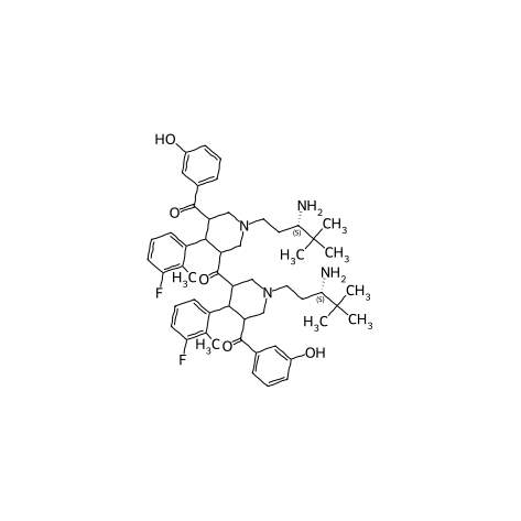 Cc1c(F)cccc1C1C(C(=O)c2cccc(O)c2)CN(CC[C@H](N)C(C)(C)C)CC1C(=O)C1CN(CC[C@H](N)C(C)(C)C)CC(C(=O)c2cccc(O)c2)C1c1cccc(F)c1C